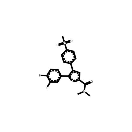 CN(C)C(=O)c1cc(-c2ccc(S(C)(=O)=O)cc2)c(-c2ccc(F)c(F)c2)s1